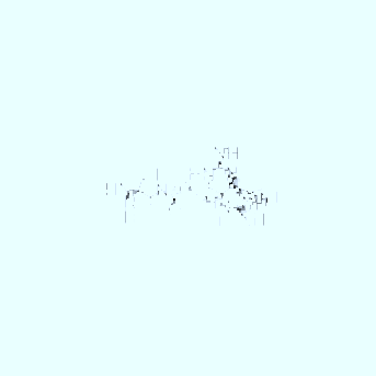 CC1(CNC(=O)OC[C@@H]2NC(=N)N3CCC(O)(O)[C@@]34NC(=N)N[C@@H]24)NN1